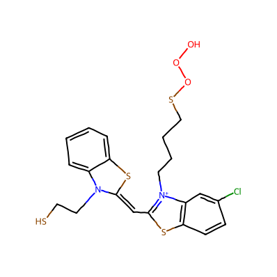 OOOSCCCC[n+]1c(/C=C2\Sc3ccccc3N2CCS)sc2ccc(Cl)cc21